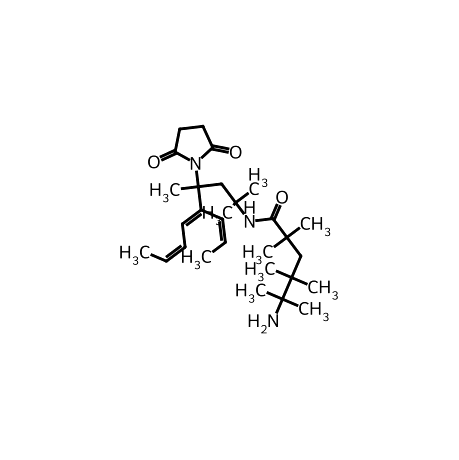 C\C=C/C=C(\C=C/C)C(C)(CC(C)(C)NC(=O)C(C)(C)CC(C)(C)C(C)(C)N)N1C(=O)CCC1=O